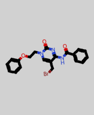 O=C(Nc1nc(=O)n(CCOc2ccccc2)cc1CBr)c1ccccc1